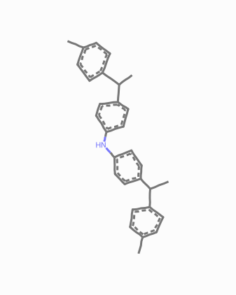 Cc1ccc(C(C)c2ccc(Nc3ccc(C(C)c4ccc(C)cc4)cc3)cc2)cc1